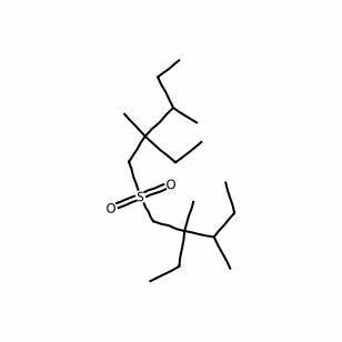 CCC(C)C(C)(CC)CS(=O)(=O)CC(C)(CC)C(C)CC